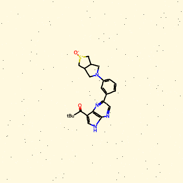 CC(C)(C)C(=O)c1c[nH]c2ncc(-c3cccc(N4CC5C[S+]([O-])CC5C4)c3)nc12